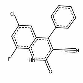 N#Cc1c(-c2ccccc2)c2cc(Cl)cc(F)c2[nH]c1=O